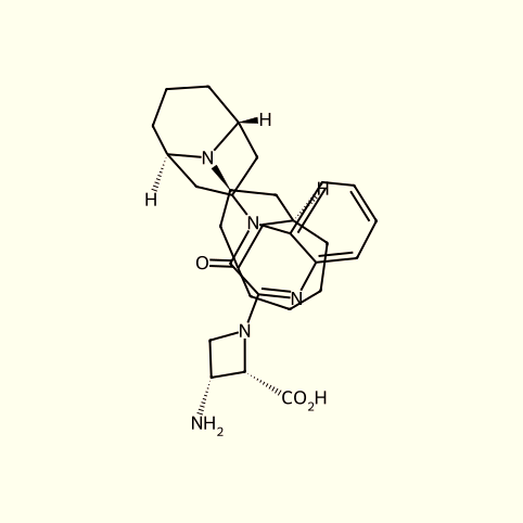 N[C@@H]1CN(c2nc3ccccc3n(C3C[C@H]4CCC[C@H](C3)N4[C@@H]3CC4CCCC[C@@H](C4)C3)c2=O)[C@@H]1C(=O)O